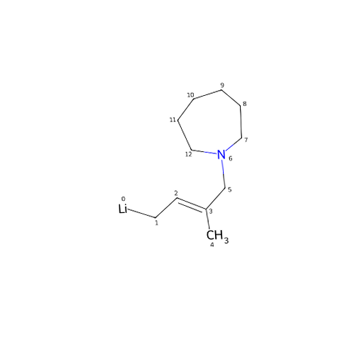 [Li][CH2]C=C(C)CN1CCCCCC1